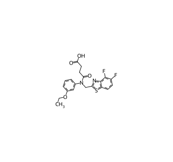 CCOc1cccc(N(Cc2nc3c(F)c(F)ccc3s2)C(=O)CCC(=O)O)c1